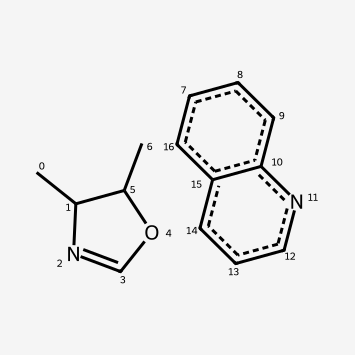 CC1N=COC1C.c1ccc2ncccc2c1